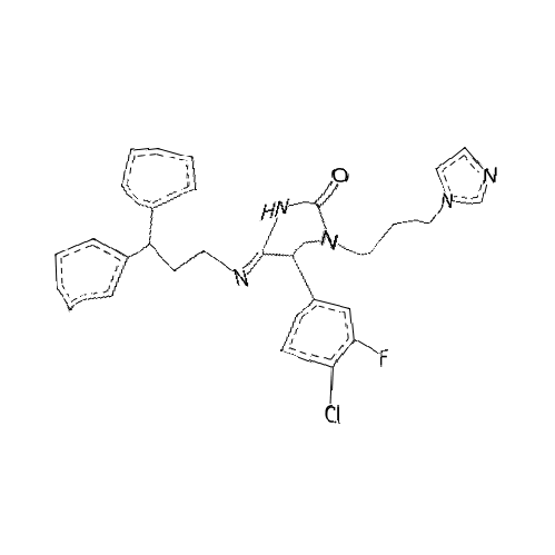 O=C1NC(=NCCC(c2ccccc2)c2ccccc2)C(c2ccc(Cl)c(F)c2)N1CCCn1ccnc1